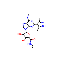 CCNC(=O)C1OC(n2cnc3c(NC)nc(-c4c(C)n[nH]c4C)nc32)C(O)C1O